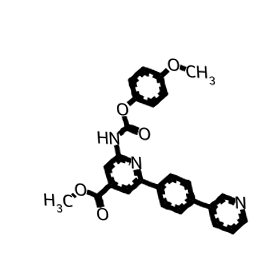 COC(=O)c1cc(NC(=O)Oc2ccc(OC)cc2)nc(-c2ccc(-c3cccnc3)cc2)c1